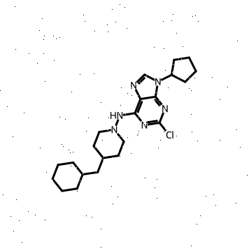 Clc1nc(NN2CCC(CC3CCCCC3)CC2)c2ncn(C3CCCC3)c2n1